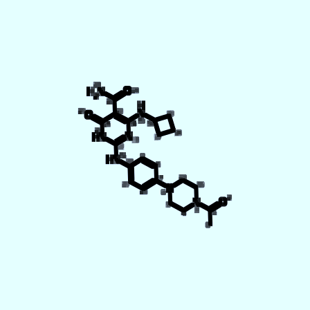 CC(=O)N1CCN(c2ccc(Nc3nc(NC4CCC4)c(C(N)=O)c(=O)[nH]3)cc2)CC1